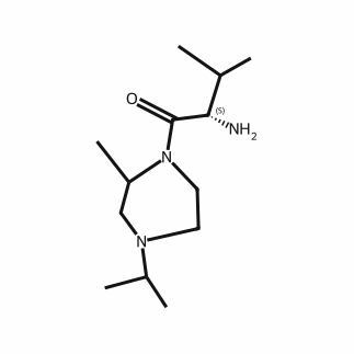 CC(C)[C@H](N)C(=O)N1CCN(C(C)C)CC1C